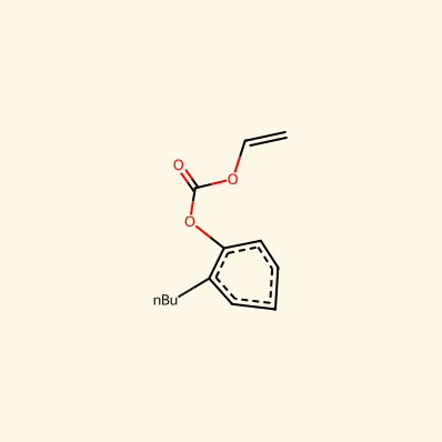 C=COC(=O)Oc1ccccc1CCCC